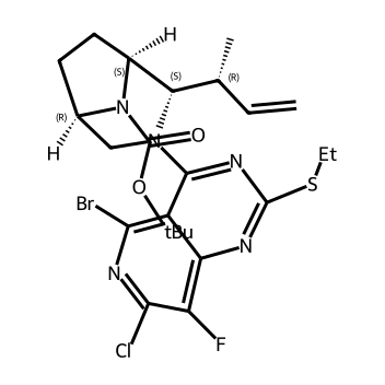 C=C[C@@H](C)[C@H]1[C@@H]2CC[C@H](CN1c1nc(SCC)nc3c(F)c(Cl)nc(Br)c13)N2C(=O)OC(C)(C)C